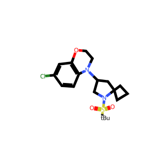 CC(C)(C)S(=O)(=O)N1CC(N2CCOc3cc(Cl)ccc32)CC12CCC2